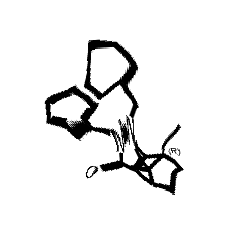 CC1(C)C2CC[C@@]1(C)c1c2c(=O)n(-c2ccccc2)n1CC1CCCCC1